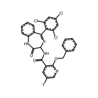 O=C(NC1N=C(c2c(Cl)cc(Cl)cc2Cl)c2ccccc2NC1=O)c1cc(F)cnc1OCc1ccccc1